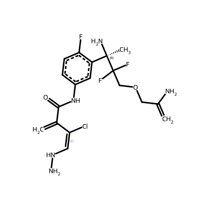 C=C(N)COCC(F)(F)[C@](C)(N)c1cc(NC(=O)C(=C)/C(Cl)=C\NN)ccc1F